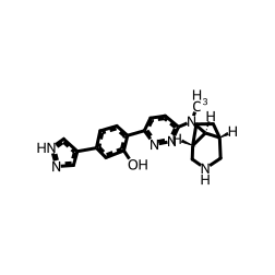 CN(c1ccc(-c2ccc(-c3cn[nH]c3)cc2O)nn1)[C@H]1[C@@H]2CC[C@H]1CNC2